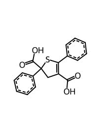 O=C(O)C1=C(c2ccccc2)SC(C(=O)O)(c2ccccc2)C1